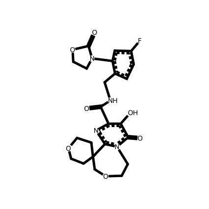 O=C(NCc1ccc(F)cc1N1CCOC1=O)c1nc2n(c(=O)c1O)CCOCC21CCOCC1